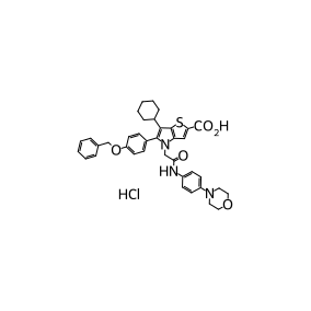 Cl.O=C(Cn1c(-c2ccc(OCc3ccccc3)cc2)c(C2CCCCC2)c2sc(C(=O)O)cc21)Nc1ccc(N2CCOCC2)cc1